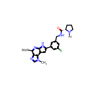 CNc1nc2[nH]c(-c3cc(F)cc(CNC(=O)[C@@H]4CCCN4C(C)=O)c3)cc2c2c1ncn2C